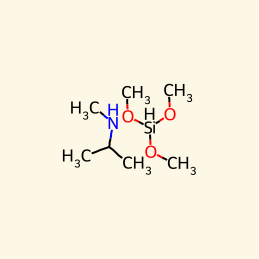 CNC(C)C.CO[SiH](OC)OC